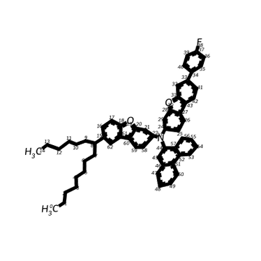 CCCCCCCCC(CCCCCC)c1ccc2oc3cc(N(c4ccc5c(c4)oc4cc(-c6ccc(F)cc6)ccc45)c4cc5ccccc5c5ccccc45)ccc3c2c1